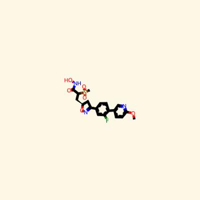 COc1ccc(-c2ccc(C3=NO[C@@H](CC(C(=O)NO)S(C)(=O)=O)C3)cc2F)cn1